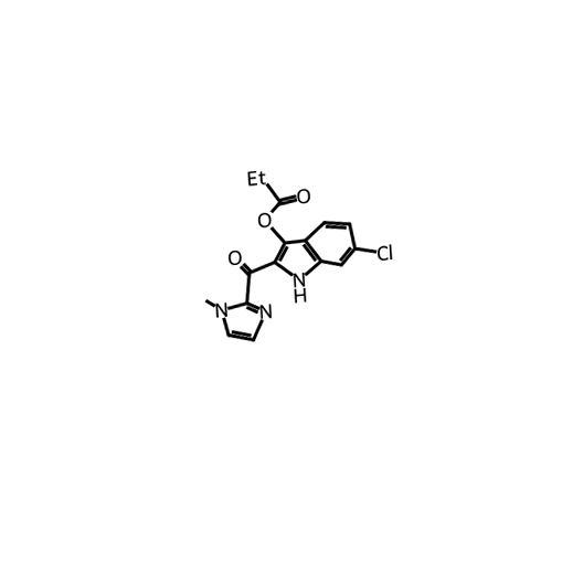 CCC(=O)Oc1c(C(=O)c2nccn2C)[nH]c2cc(Cl)ccc12